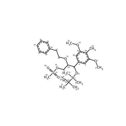 COc1cc(C(O[Si](C)(C)C(C)(C)C)C(COS(C)(=O)=O)OCCc2ccccc2)cc(OC)c1C